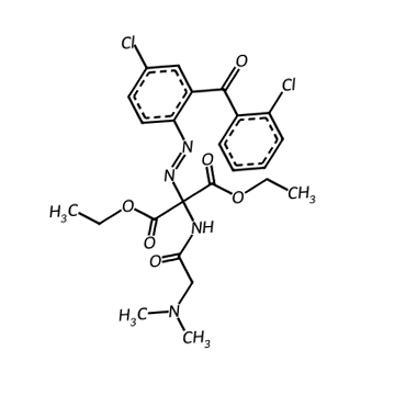 CCOC(=O)C(N=Nc1ccc(Cl)cc1C(=O)c1ccccc1Cl)(NC(=O)CN(C)C)C(=O)OCC